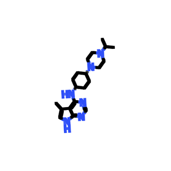 Cc1c[nH]c2ncnc(N[C@H]3CC[C@@H](N4CCN(C(C)C)CC4)CC3)c12